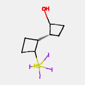 OC1CC[C@@H]1C1CCC1[SH](I)(I)(I)I